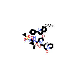 C=C[C@@H]1C[C@]1(NC(=O)[C@@H]1C[C@@H](Oc2cc(-c3ccccc3)nc3cc(OC)ccc23)CN1C(=O)C(CC(=O)N1CCCCC1)C(C)(C)C)C(=O)NS(=O)(=O)C1CC1